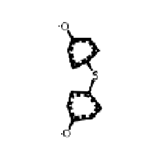 [O]c1ccc(Sc2ccc([O])cc2)cc1